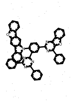 c1ccc(-c2nc(-c3ccccc3)nc(-c3cc(-c4nc(-c5ccccc5)c5oc6ccccc6c5n4)ccc3-n3c4ccccc4c4cc5oc6ccccc6c5cc43)n2)cc1